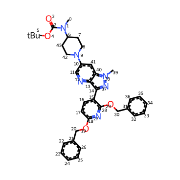 CN(C(=O)OC(C)(C)C)C1CCN(c2cnc3c(-c4ccc(OCc5ccccc5)nc4OCc4ccccc4)nn(C)c3c2)CC1